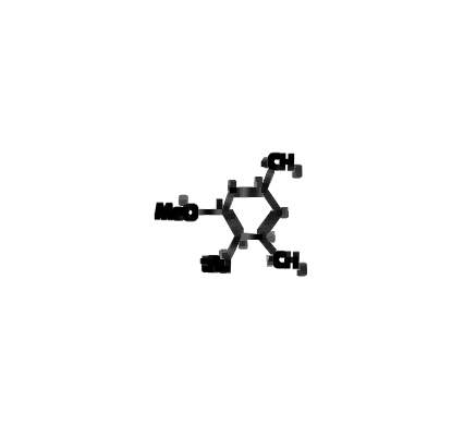 COc1cc(C)cc(C)c1C(C)(C)C